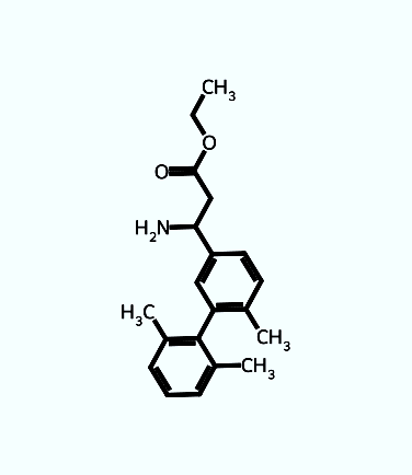 CCOC(=O)CC(N)c1ccc(C)c(-c2c(C)cccc2C)c1